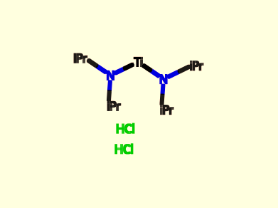 CC(C)[N]([Ti][N](C(C)C)C(C)C)C(C)C.Cl.Cl